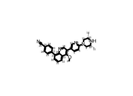 COc1c(-c2ccc(N3C[C@@H](C)N[C@@H](C)C3)nc2)cnc2c(-c3ccc(C#N)cc3)cccc12